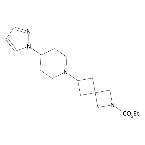 CCOC(=O)N1CC2(CC(N3CCC(n4cccn4)CC3)C2)C1